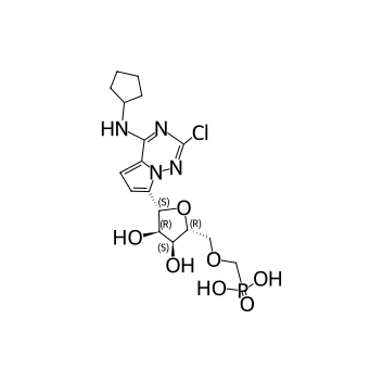 O=P(O)(O)COC[C@H]1O[C@@H](c2ccc3c(NC4CCCC4)nc(Cl)nn23)[C@H](O)[C@@H]1O